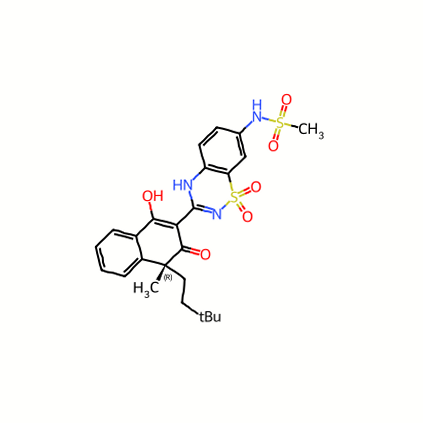 CC(C)(C)CC[C@@]1(C)C(=O)C(C2=NS(=O)(=O)c3cc(NS(C)(=O)=O)ccc3N2)=C(O)c2ccccc21